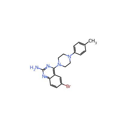 Cc1ccc(N2CCN(c3nc(N)nc4ccc(Br)cc34)CC2)cc1